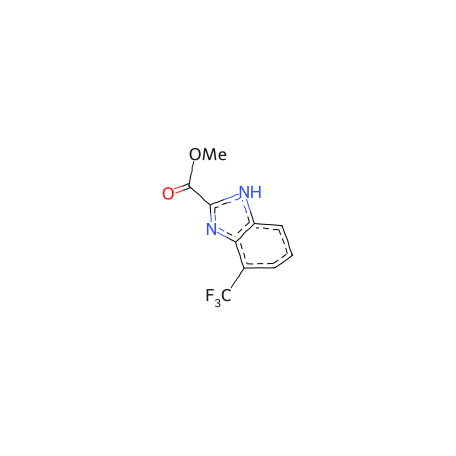 COC(=O)c1nc2c(C(F)(F)F)cccc2[nH]1